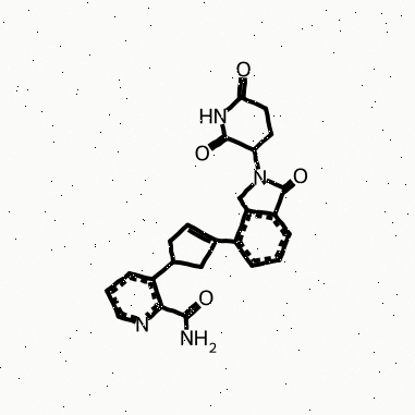 NC(=O)c1ncccc1C1CC=C(c2cccc3c2CN(C2CCC(=O)NC2=O)C3=O)C1